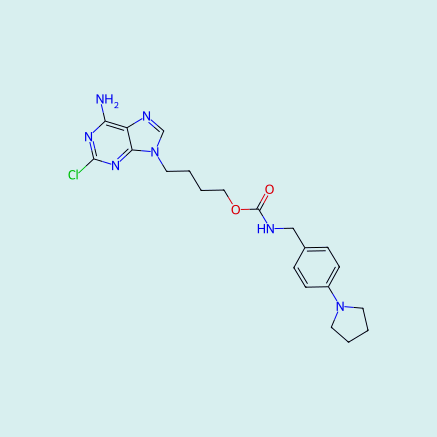 Nc1nc(Cl)nc2c1ncn2CCCCOC(=O)NCc1ccc(N2CCCC2)cc1